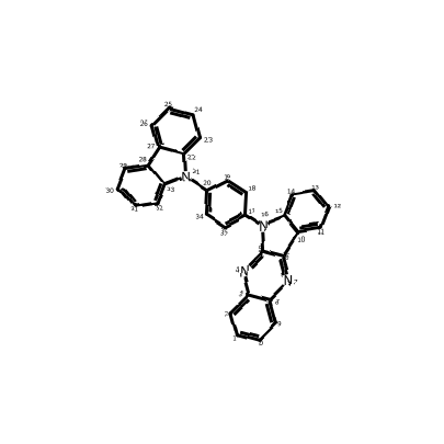 c1ccc2nc3c(nc2c1)c1ccccc1n3-c1ccc(-n2c3ccccc3c3ccccc32)cc1